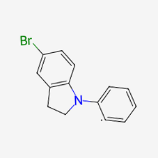 Brc1ccc2c(c1)CCN2c1[c]cccc1